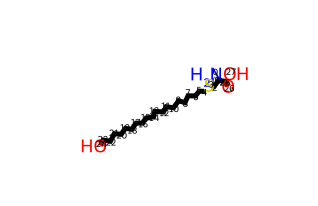 N[C@@H](CSCCCCCCCCCCCCCCCCCCCCO)C(=O)O